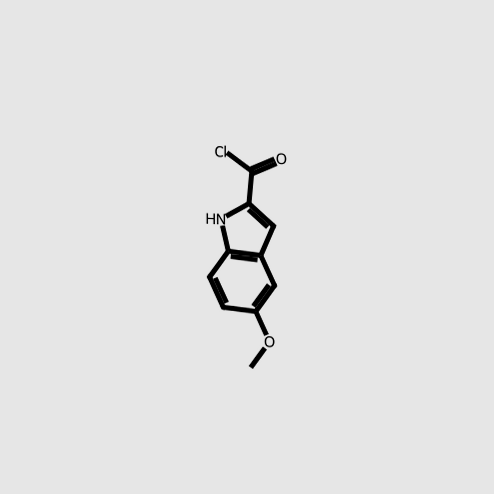 COc1ccc2[nH]c(C(=O)Cl)cc2c1